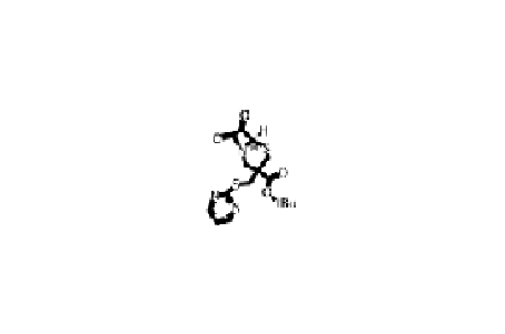 CC(C)(C)OC(=O)C1(CSc2ncccn2)CS[C@@H]2C(=O)C(=O)N2C1